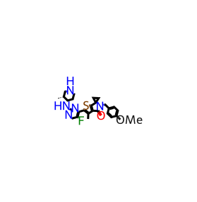 COc1ccc(CN2C(=O)c3c(sc(-c4nc(N[C@H]5CCNC[C@H]5C)ncc4F)c3C)C23CC3)cc1